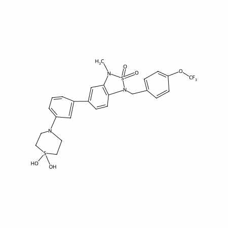 CN1c2cc(-c3cccc(N4CCS(O)(O)CC4)c3)ccc2N(Cc2ccc(OC(F)(F)F)cc2)S1(=O)=O